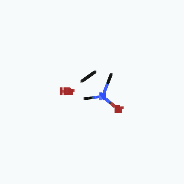 Br.CC.CN(C)Br